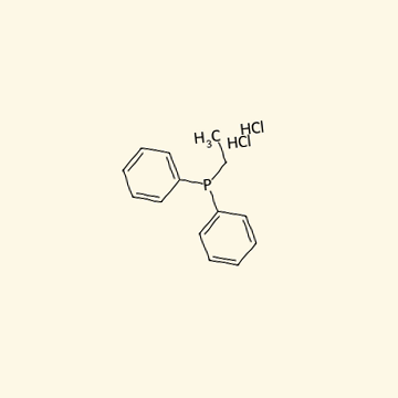 CCP(c1ccccc1)c1ccccc1.Cl.Cl